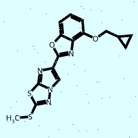 CSc1nn2cc(-c3nc4c(OCC5CC5)cccc4o3)nc2s1